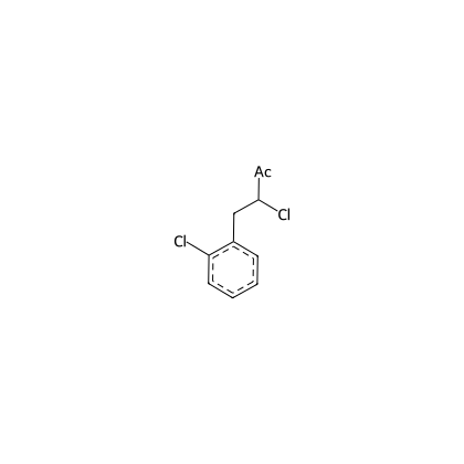 CC(=O)C(Cl)Cc1ccccc1Cl